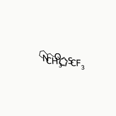 CN1CCCCC1CCOc1cccc(SC(F)(F)F)c1